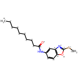 BSc1nc2cc(NC(=O)CCCCCCCCC)ccc2o1